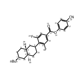 CCCC[C@H]1CC[C@@H]2CC(c3c(F)cc(C(=O)Oc4ccc(C#N)cc4)cc3F)CC[C@H]2C1